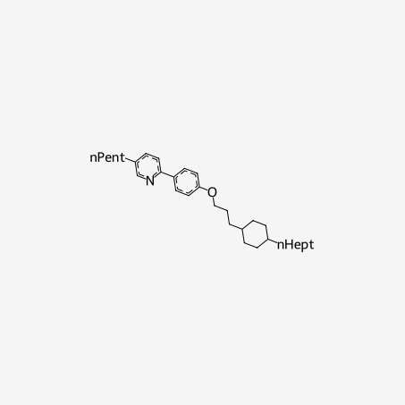 CCCCCCCC1CCC(CCCOc2ccc(-c3ccc(CCCCC)cn3)cc2)CC1